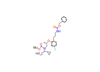 C[C@H](CN(C(=O)OC(C)(C)C)[C@H](C(=O)O)C1CC1)Oc1cc(F)ccc1CCCNC(=O)OCc1ccccc1